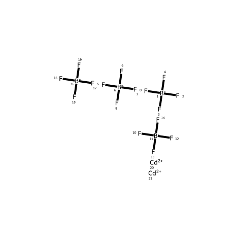 F[B-](F)(F)F.F[B-](F)(F)F.F[B-](F)(F)F.F[B-](F)(F)F.[Cd+2].[Cd+2]